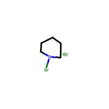 Br.BrN1CCCCC1